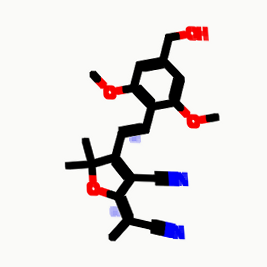 COc1cc(CO)cc(OC)c1/C=C/C1=C(C#N)C(=C(/C)C#N)/OC1(C)C